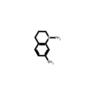 Bc1ccc2c(c1)N(P)CCC2